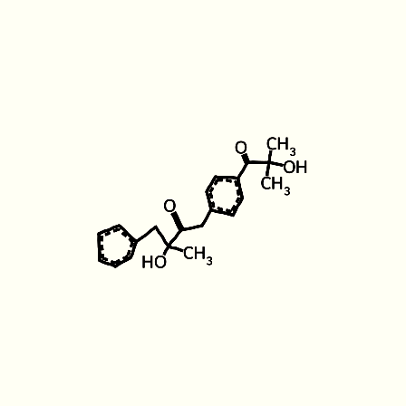 CC(C)(O)C(=O)c1ccc(CC(=O)C(C)(O)Cc2ccccc2)cc1